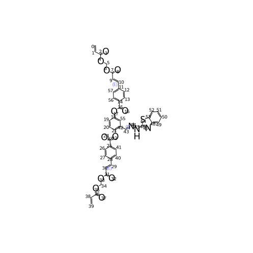 C=CC(=O)OCOC(=O)/C=C/c1ccc(C(=O)Oc2ccc(OC(=O)c3ccc(/C=C/C(=O)OCOC(=O)C=C)cc3)c(/C=N/Nc3nc4ccccc4s3)c2)cc1